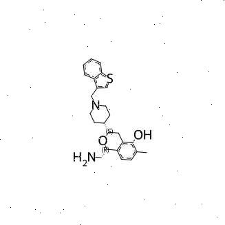 Cc1ccc2c(c1O)C[C@@H](C1CCN(Cc3csc4ccccc34)CC1)O[C@H]2CN